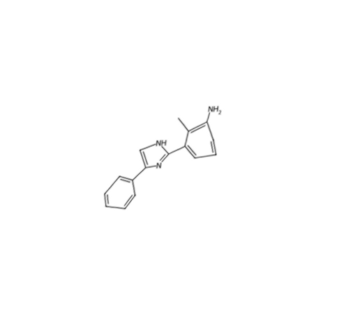 Cc1c(N)cccc1-c1nc(-c2ccccc2)c[nH]1